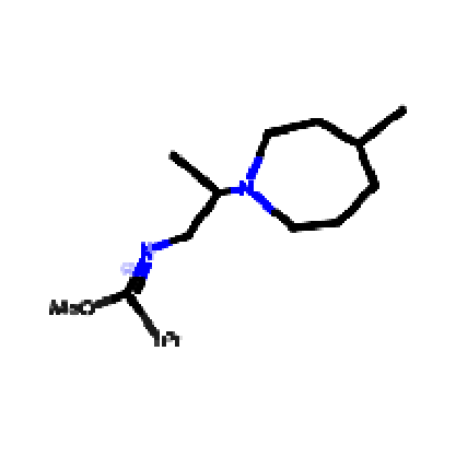 CCC/C(=N\CC(C)N1CCCC(C)CC1)OC